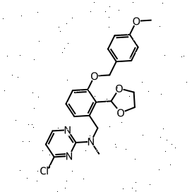 COc1ccc(COc2cccc(CN(C)c3nccc(Cl)n3)c2C2OCCO2)cc1